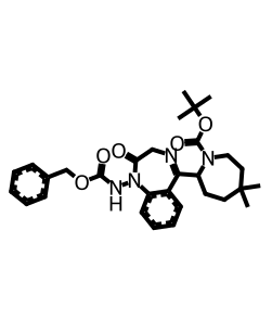 CC1(C)CCC(C2=NCC(=O)N(NC(=O)OCc3ccccc3)c3ccccc32)N(C(=O)OC(C)(C)C)CC1